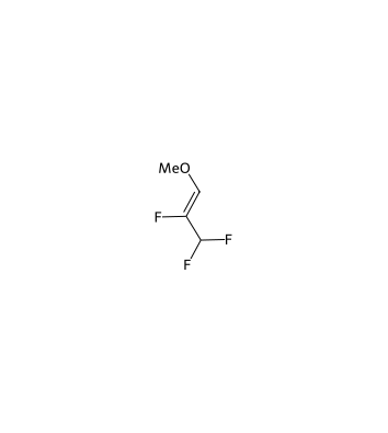 COC=C(F)C(F)F